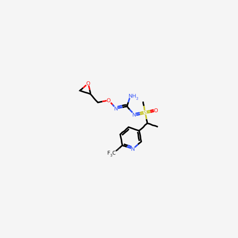 CC(c1ccc(C(F)(F)F)nc1)S(C)(=O)=N/C(N)=N/OCC1CO1